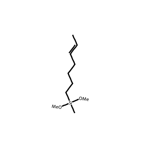 CC=CCCCC[Si](C)(OC)OC